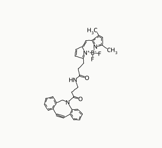 Cc1cc(C)n2c1C=C1C=CC(CCC(=O)NCCC(=O)N3Cc4ccccc4C#Cc4ccccc43)=[N+]1[B-]2(F)F